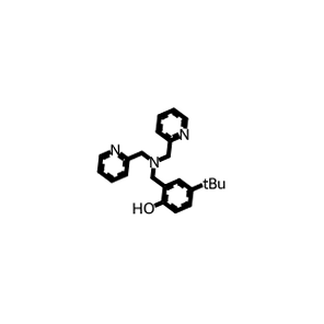 CC(C)(C)c1ccc(O)c(CN(Cc2ccccn2)Cc2ccccn2)c1